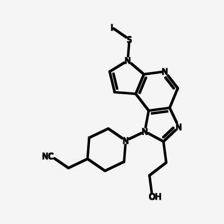 N#CCC1CCN(n2c(CCO)nc3cnc4c(ccn4SI)c32)CC1